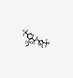 CCS(=O)(=O)c1cc(C(F)(F)F)cnc1C(=O)N(C)c1cc(C(F)(F)F)n(C)n1